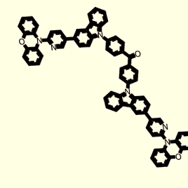 O=C(c1ccc(-n2c3ccccc3c3cc(-c4ccc(N5c6ccccc6Oc6ccccc65)nc4)ccc32)cc1)c1ccc(-n2c3ccccc3c3cc(-c4ccc(N5c6ccccc6Oc6ccccc65)nc4)ccc32)cc1